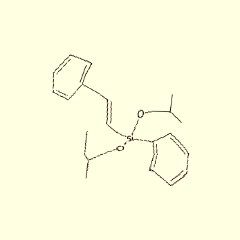 CC(C)O[Si](C=Cc1ccccc1)(OC(C)C)c1ccccc1